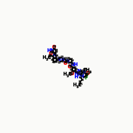 CCCCCN1CC(F)(F)C(=O)N(C)c2cnc(Nc3ccc(C(=O)NC4CCCN(C(=O)CN5CCN(c6cccc7c6CN(C6CCC(=O)NC6=O)C7CC)CC5)C4)cc3OC)nc21